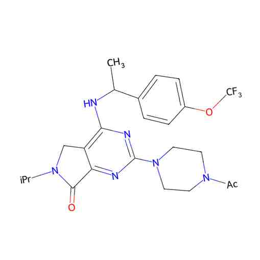 CC(=O)N1CCN(c2nc(NC(C)c3ccc(OC(F)(F)F)cc3)c3c(n2)C(=O)N(C(C)C)C3)CC1